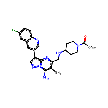 Bc1c(CNC2CCN(C(=O)OC)CC2)nc2c(-c3cnc4ccc(F)cc4c3)cnn2c1N